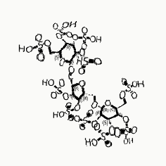 O=[SH](=O)O[C@H]1[C@H](OC[C@H]2O[C@H](CO[C@@H]3O[C@@H](COS(=O)(=O)O)[C@@H](OS(=O)(=O)O)[C@H](OS(=O)(=O)O)[C@H]3OS(=O)(=O)O)[C@@H](OS(=O)(=O)O)[C@@H]2OS(=O)(=O)O)O[C@@H](COS(=O)(=O)O)[C@@H](OS(=O)(=O)O)[C@@H]1OS(=O)(=O)O